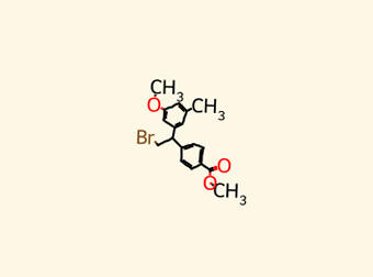 COC(=O)c1ccc(C(CBr)c2cc(C)cc(OC)c2)cc1